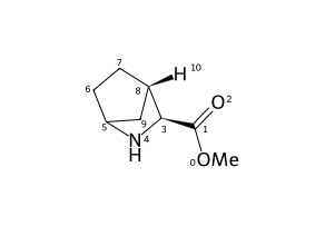 COC(=O)[C@H]1NC2CC[C@H]1C2